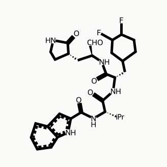 CC(C)[C@H](NC(=O)c1cc2ccccc2[nH]1)C(=O)N[C@@H](CC1CCC(F)C(F)C1)C(=O)N[C@H](C=O)C[C@@H]1CCNC1=O